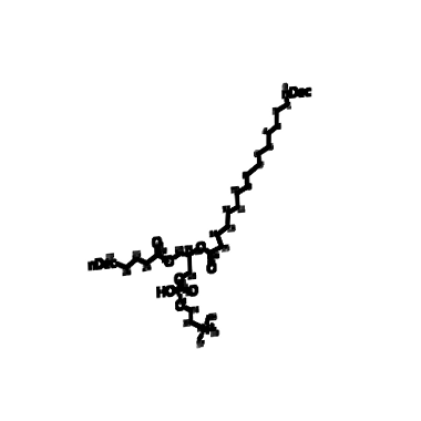 CCCCCCCCCCCCCCCCCCCCCCCCCC(=O)OC(COC(=O)CCCCCCCCCCCCC)COP(=O)(O)OCC[N+](C)(C)C